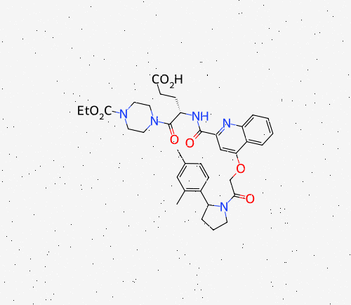 CCOC(=O)N1CCN(C(=O)[C@H](CCC(=O)O)NC(=O)c2cc(OCC(=O)N3CCCC3c3ccc(C)cc3C)c3ccccc3n2)CC1